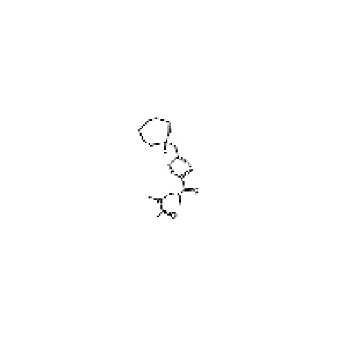 CC(=O)N(C)CN(C)C(=O)c1ccc(CC2(F)C#CCCCCC2)cc1